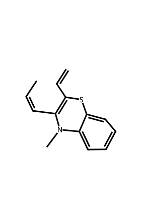 C=CC1=C(/C=C\C)N(C)c2ccccc2S1